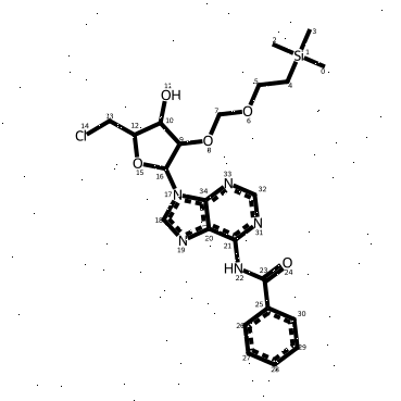 C[Si](C)(C)CCOCOC1C(O)C(CCl)OC1n1cnc2c(NC(=O)c3ccccc3)ncnc21